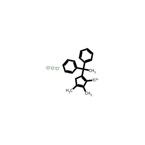 CC1=C(C)[C]([Ti+3])=C(C(C)(c2ccccc2)c2ccccc2)C1.[Cl-].[Cl-].[Cl-]